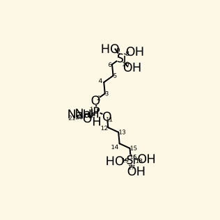 O=[PH](OCCCC[Si](O)(O)O)OCCCC[Si](O)(O)O.[NaH].[NaH]